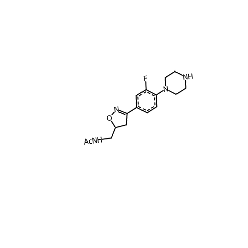 CC(=O)NCC1CC(c2ccc(N3CCNCC3)c(F)c2)=NO1